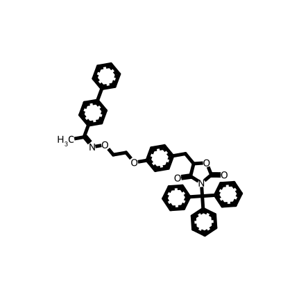 CC(=NOCCOc1ccc(CC2OC(=O)N(C(c3ccccc3)(c3ccccc3)c3ccccc3)C2=O)cc1)c1ccc(-c2ccccc2)cc1